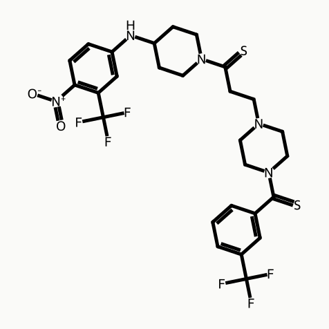 O=[N+]([O-])c1ccc(NC2CCN(C(=S)CCN3CCN(C(=S)c4cccc(C(F)(F)F)c4)CC3)CC2)cc1C(F)(F)F